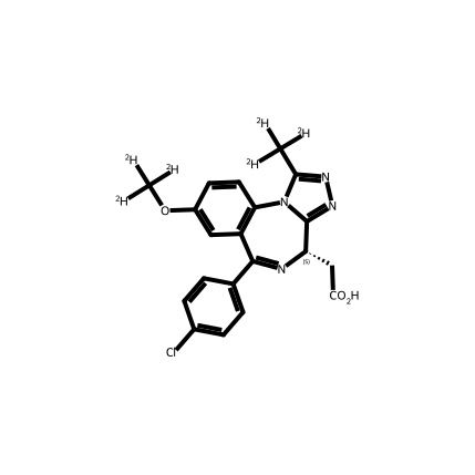 [2H]C([2H])([2H])Oc1ccc2c(c1)C(c1ccc(Cl)cc1)=N[C@@H](CC(=O)O)c1nnc(C([2H])([2H])[2H])n1-2